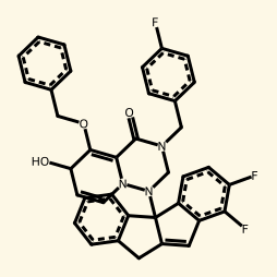 O=C1C2=C(OCc3ccccc3)C(O)C=CN2N(C23C(=Cc4c2ccc(F)c4F)Cc2ccccc23)CN1Cc1ccc(F)cc1